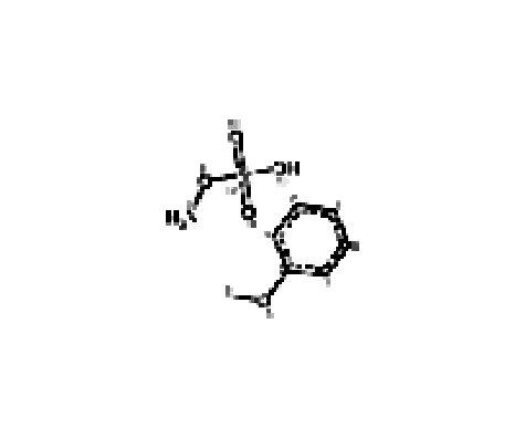 COc1ccccc1.NOS(=O)(=O)O